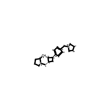 CC1CCCN1C[C@H]1C[C@H](c2ccc(CN3CCCC3)cc2)C1